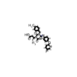 Cc1ccc(Cn2c(=O)n([C@H](C)CC(=O)O)c(=O)[nH]/c2=N\c2ccc(Oc3ccc(F)cn3)cc2)cc1